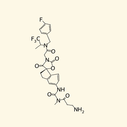 CC(N(Cc1ccc(F)cc1)C(=O)CN1C(=O)O[C@@]2(CCc3cc(NC(=O)N(C)C(=O)CCN)ccc32)C1=O)C(F)(F)F